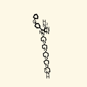 Nc1ncnc2c1c(-c1ccc(Oc3ccccc3)cc1)nn2C1CCN(C2CCN(C3CCN(C4CCN(C5CCNCC5)CC4)CC3)CC2)CC1